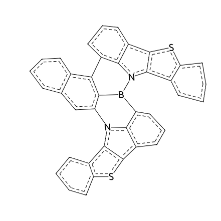 c1ccc2c3c4c(cc2c1)-n1c2c(cccc2c2sc5ccccc5c21)B4n1c2c-3cccc2c2sc3ccccc3c21